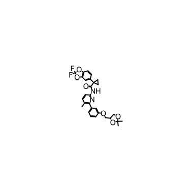 Cc1ccc(NC(=O)C2(c3ccc4c(c3)OC(F)(F)O4)CC2)nc1-c1cccc(OCC2COC(C)(C)O2)c1